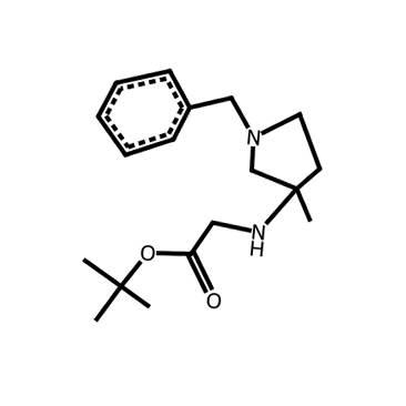 CC1(NCC(=O)OC(C)(C)C)CCN(Cc2ccccc2)C1